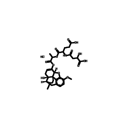 COc1ccc2c3c1O[C@H]1C(OC(=O)C(C)OC(=O)C(CCC(=O)O)NC(=O)CC(O)C(=O)O)=CC[C@@]4(O)[C@@H](C2)N(C)CC[C@]314.Cl